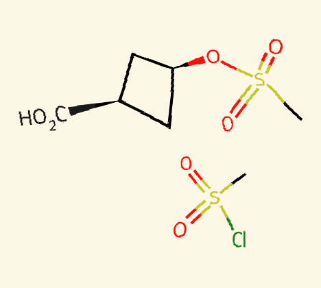 CS(=O)(=O)Cl.CS(=O)(=O)O[C@H]1C[C@@H](C(=O)O)C1